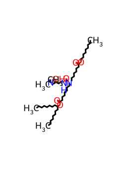 CCCCCCCCCOC(=O)CCCCCCCN(CCCCCCCC(=O)OC(CCCCCCCC)CCCCCCCC)C(=O)NCCC(O)CN(C)C